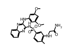 COc1cc(Nc2nc3ccccc3nc2NS(=O)(=O)c2ccc(C)c(NCC(N)=O)c2)cc(OC)c1